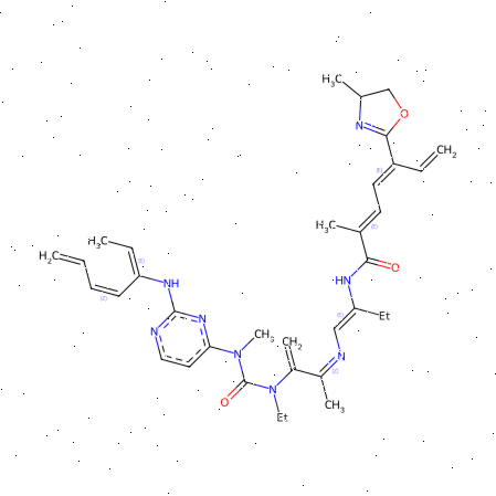 C=C/C=C\C(=C/C)Nc1nccc(N(C)C(=O)N(CC)C(=C)/C(C)=N\C=C(/CC)NC(=O)/C(C)=C/C=C(\C=C)C2=NC(C)CO2)n1